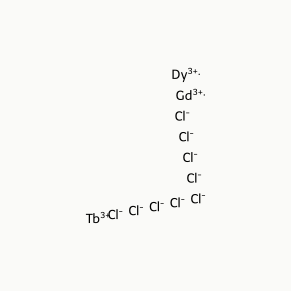 [Cl-].[Cl-].[Cl-].[Cl-].[Cl-].[Cl-].[Cl-].[Cl-].[Cl-].[Dy+3].[Gd+3].[Tb+3]